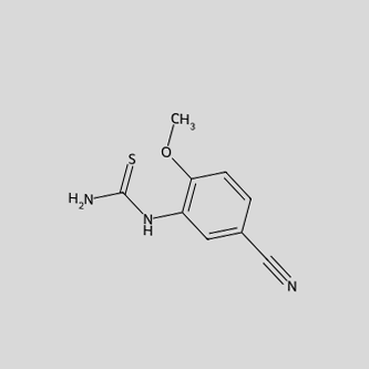 COc1ccc(C#N)cc1NC(N)=S